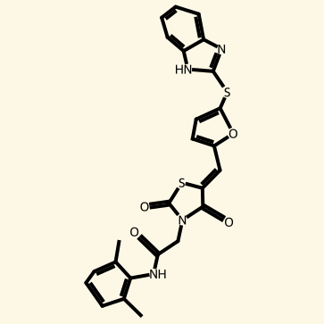 Cc1cccc(C)c1NC(=O)CN1C(=O)SC(=Cc2ccc(Sc3nc4ccccc4[nH]3)o2)C1=O